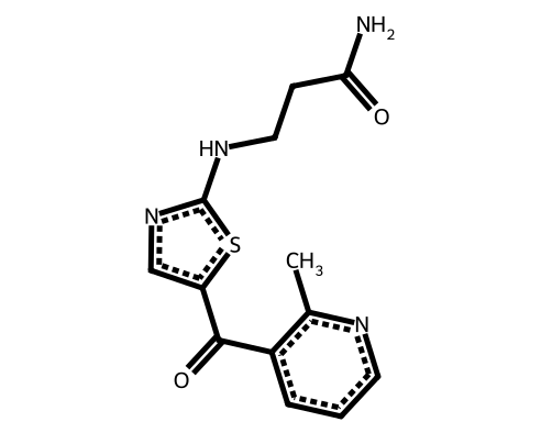 Cc1ncccc1C(=O)c1cnc(NCCC(N)=O)s1